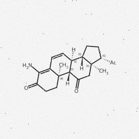 CC(=O)[C@H]1CC[C@H]2[C@@H]3C=CC4=C(N)C(=O)CC[C@]4(C)[C@H]3C(=O)C[C@]12C